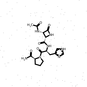 CC(=O)N[C@@H]1C(=O)N[C@@H]1C(=O)N[C@@H](Cc1c[nH]cn1)C(=O)N1CCC[C@H]1C(N)=O